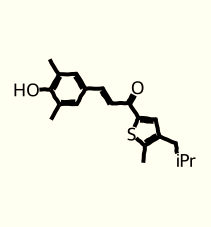 Cc1cc(/C=C/C(=O)c2cc(CC(C)C)c(C)s2)cc(C)c1O